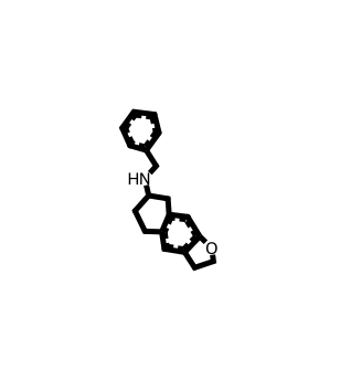 c1ccc(CNC2CCc3cc4c(cc3C2)OCC4)cc1